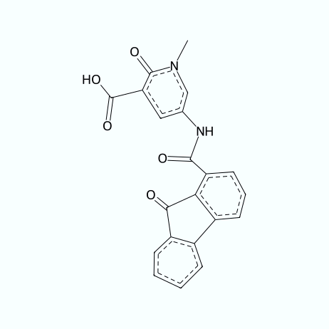 Cn1cc(NC(=O)c2cccc3c2C(=O)c2ccccc2-3)cc(C(=O)O)c1=O